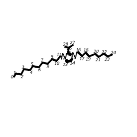 CCCCCCCCCCCC[n+]1ccn(CCCCCCCCC)c1C(C)C